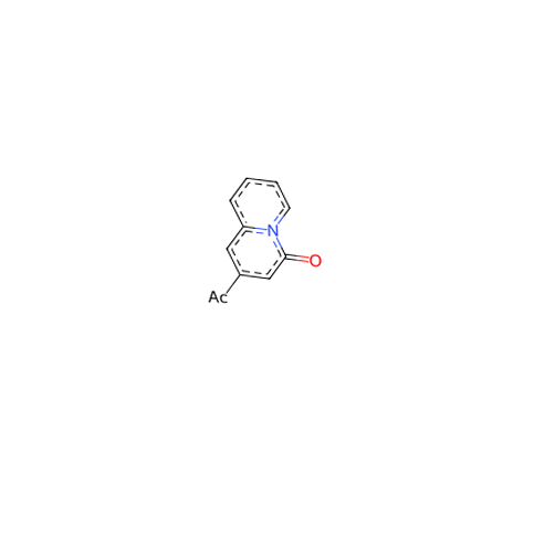 CC(=O)c1cc(=O)n2ccccc2c1